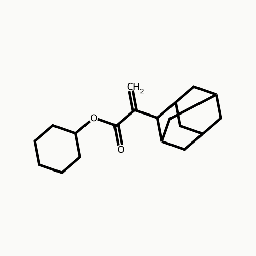 C=C(C(=O)OC1CCCCC1)C1C2CC3CC(C2)CC1C3